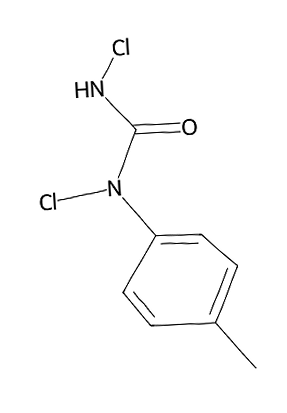 Cc1ccc(N(Cl)C(=O)NCl)cc1